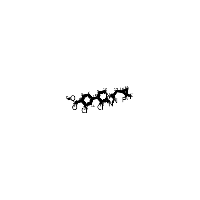 COC(=O)c1ccc(-c2ccn3c(CC4CC4(F)F)nnc3c2Cl)cc1Cl